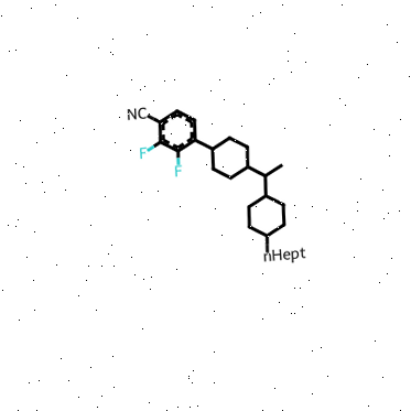 CCCCCCCC1CCC(C(C)C2CCC(c3ccc(C#N)c(F)c3F)CC2)CC1